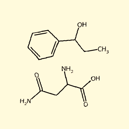 CCC(O)c1ccccc1.NC(=O)CC(N)C(=O)O